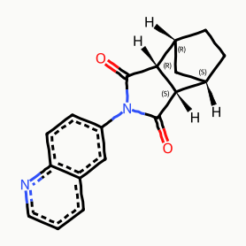 O=C1[C@@H]2[C@@H]3CC[C@@H](C3)[C@@H]2C(=O)N1c1ccc2ncccc2c1